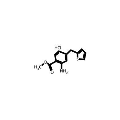 COC(=O)c1ccc(Cc2cccs2)cc1N.Cl